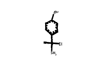 CCC(C)c1ccc(C(C)([SiH3])CC)cc1